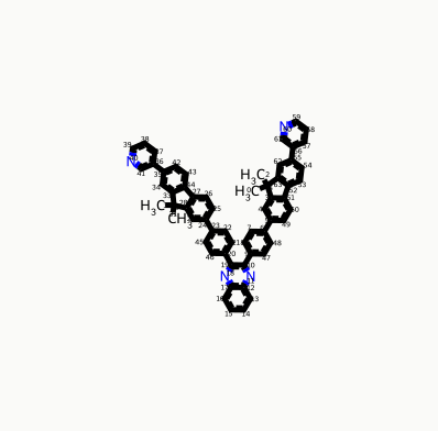 CC1(C)c2cc(-c3ccc(-c4nc5ccccc5nc4-c4ccc(-c5ccc6c(c5)C(C)(C)c5cc(-c7cccnc7)ccc5-6)cc4)cc3)ccc2-c2ccc(-c3cccnc3)cc21